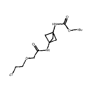 CC(C)(C)OC(=O)NC12CC(NC(=O)COCCCl)(C1)C2